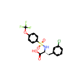 O=C(O)[C@@H](Cc1cccc(Cl)c1)NS(=O)(=O)c1ccc(OC(F)(F)F)cc1